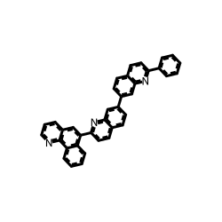 c1ccc(-c2ccc3ccc(-c4ccc5ccc(-c6cc7cccnc7c7ccccc67)nc5c4)cc3n2)cc1